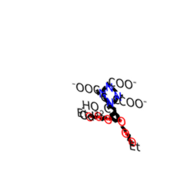 CCOCCOCCOc1cc(CC(C(=O)O)N2CCN(CC(=O)[O-])CCN(CC(=O)[O-])CCN(CC(=O)[O-])CC2)cc(OCCOCCOCC)c1.[Gd+3]